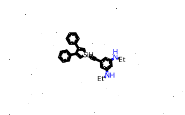 CCNc1cc(C#C[SiH]2C=C(c3ccccc3)C(c3ccccc3)=C2)cc(NCC)c1